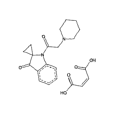 O=C(CN1CCCCC1)N1c2ccccc2C(=O)C12CC2.O=C(O)/C=C\C(=O)O